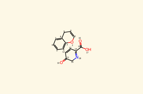 C1=COc2ccccc2C1.O=C1C=CC(C(=O)O)=NC1